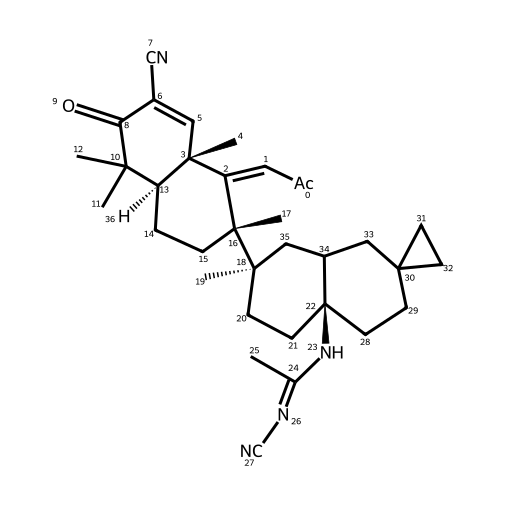 CC(=O)/C=C1/[C@@]2(C)C=C(C#N)C(=O)C(C)(C)[C@@H]2CC[C@@]1(C)[C@]1(C)CC[C@@]2(N/C(C)=N/C#N)CCC3(CC3)CC2C1